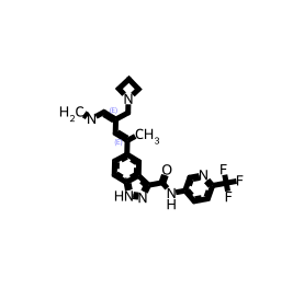 C=N/C=C(\C=C(/C)c1ccc2[nH]nc(C(=O)Nc3ccc(C(F)(F)F)nc3)c2c1)CN1CCC1